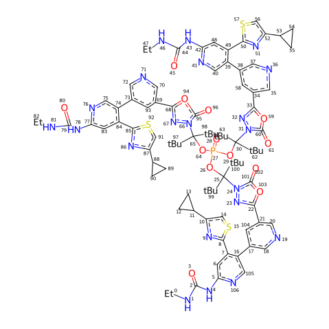 CCNC(=O)Nc1cc(-c2nc(C3CC3)cs2)c(-c2cncc(-c3nn(C(OP(=O)(OC(n4nc(-c5cncc(-c6cnc(NC(=O)NCC)cc6-c6nc(C7CC7)cs6)c5)oc4=O)(C(C)(C)C)C(C)(C)C)OC(n4nc(-c5cncc(-c6cnc(NC(=O)NCC)cc6-c6nc(C7CC7)cs6)c5)oc4=O)(C(C)(C)C)C(C)(C)C)(C(C)(C)C)C(C)(C)C)c(=O)o3)c2)cn1